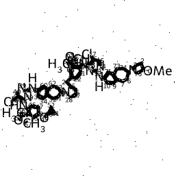 CO[C@H]1CCN([C@@H]2CCc3ccc(Nc4ncc(Cl)c(Nc5ccc(CC6CCCN6C6CCc7ccc(Nc8ncc(Cl)c(Nc9ccc(OC%10CC%10)cc9P(C)(C)=O)n8)cc7CC6)cc5P(C)(C)=O)n4)cc3CC2)C1